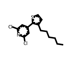 CCCCCCc1ccsc1-c1cc(Cl)nc(Cl)c1